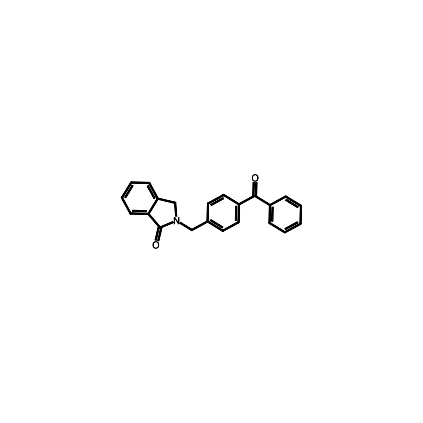 O=C(c1ccccc1)c1ccc(CN2Cc3ccccc3C2=O)cc1